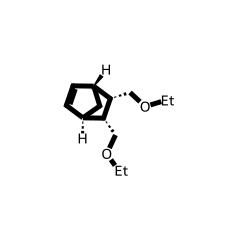 CCOC[C@@H]1[C@H](COCC)[C@H]2C=C[C@H]1C2